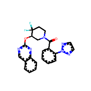 O=C(c1ccccc1-n1nccn1)N1CCC(F)(F)C(Oc2ncc3ccccc3n2)C1